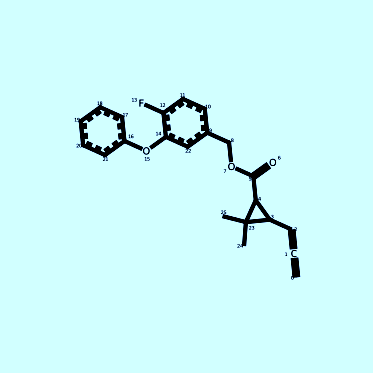 C=C=CC1C(C(=O)OCc2ccc(F)c(Oc3ccccc3)c2)C1(C)C